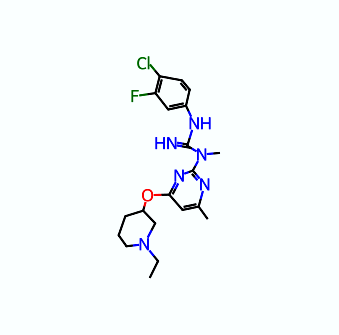 CCN1CCCC(Oc2cc(C)nc(N(C)C(=N)Nc3ccc(Cl)c(F)c3)n2)C1